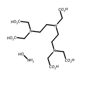 NO.O=C(O)CN(CCN(CC(=O)O)CC(=O)O)CCN(CC(=O)O)CC(=O)O